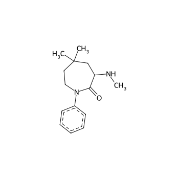 CNC1CC(C)(C)CCN(c2ccccc2)C1=O